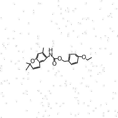 CCOc1ccc(COC(=O)Nc2cc3c(cc2C)OC(C)(C)C=C3)cc1